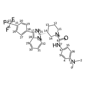 CN(C)c1ccc(NC(=O)N2CCC[C@@H](c3nc(-c4ccc(C(F)(F)F)cc4)c4ccccn34)C2)cc1